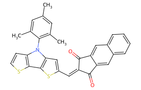 Cc1cc(C)c(-n2c3ccsc3c3sc(C=C4C(=O)c5cc6ccccc6cc5C4=O)cc32)c(C)c1